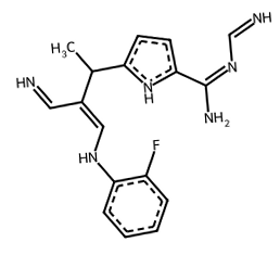 CC(/C(C=N)=C/Nc1ccccc1F)c1ccc(/C(N)=N\C=N)[nH]1